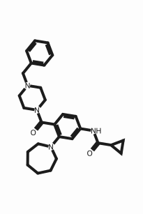 O=C(Nc1ccc(C(=O)N2CCN(Cc3ccccc3)CC2)c(N2CCCCCC2)c1)C1CC1